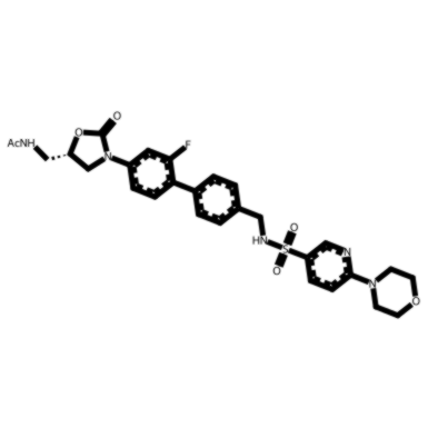 CC(=O)NC[C@H]1CN(c2ccc(-c3ccc(CNS(=O)(=O)c4ccc(N5CCOCC5)nc4)cc3)c(F)c2)C(=O)O1